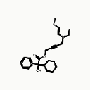 CCN(CC#CCOC(=O)C(O)(c1ccccc1)C1CCCCC1)CCOC